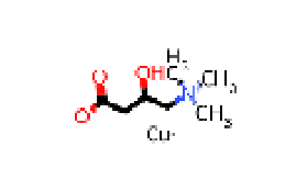 C[N+](C)(C)CC(O)CC(=O)[O-].[Cu]